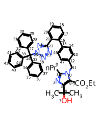 CCCc1nc(C(C)(C)O)c(C(=O)OCC)n1Cc1ccc(-c2ccccc2-c2nnn(C(c3ccccc3)(c3ccccc3)c3ccccc3)n2)cc1